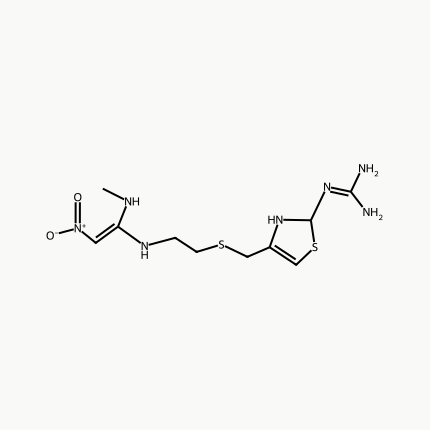 CN/C(=C\[N+](=O)[O-])NCCSCC1=CSC(N=C(N)N)N1